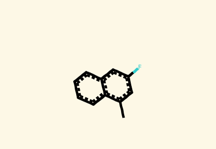 Cc1cc(F)cc2ccccc12